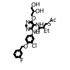 CCC(CSC(C)=O)C(=O)Nc1c(Nc2ccc(OCc3cccc(F)c3)c(Cl)c2)ncnc1OC[C@H](O)CO